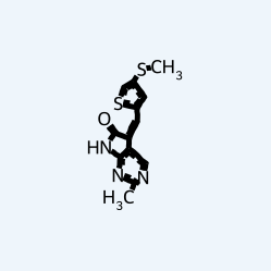 CSc1csc(C=C2C(=O)Nc3nc(C)ncc32)c1